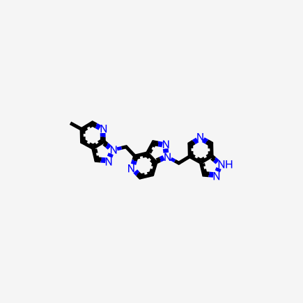 Cc1cnc2c(cnn2Cc2nccc3c2cnn3Cc2cncc3[nH]ncc23)c1